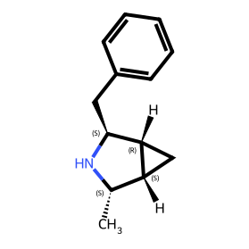 C[C@@H]1N[C@@H](Cc2ccccc2)[C@@H]2C[C@@H]21